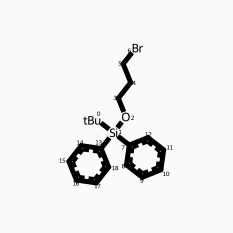 CC(C)(C)[Si](OCCCBr)(c1ccccc1)c1ccccc1